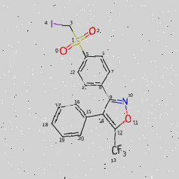 O=S(=O)(CI)c1ccc(-c2noc(C(F)(F)F)c2-c2ccccc2)cc1